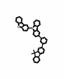 CC1(C)c2ccccc2-c2ccc(-c3cccc(-c4ccc5c(c4)c4ccccc4n5-c4ccc5oc6ccccc6c5c4)c3)cc21